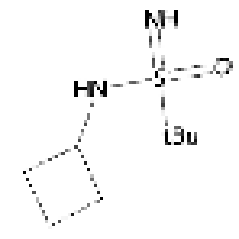 CC(C)(C)S(=N)(=O)NC1CCC1